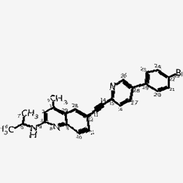 Cc1cc(NC(C)C)nc2ccc(C#Cc3ccc(-c4ccc(Br)cc4)cn3)cc12